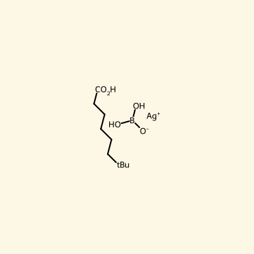 CC(C)(C)CCCCCC(=O)O.[Ag+].[O-]B(O)O